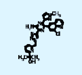 Cn1ccc(-c2nc(N)c(-c3cn(Cc4cccc(C(C)(C)O)n4)nn3)nc2-c2cc(Cl)c3ncccc3c2)n1